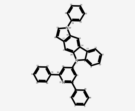 c1ccc(-c2cc(-n3c4ccccc4c4cc5c(ccn5-c5ccccc5)cc43)cc(-c3ccccc3)n2)cc1